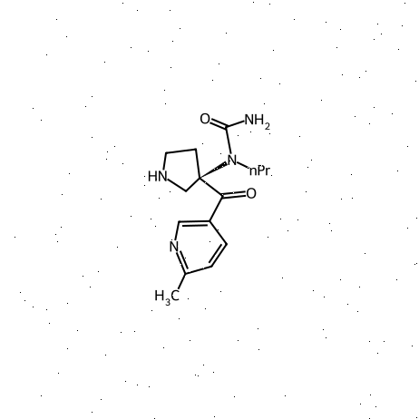 CCCN(C(N)=O)[C@]1(C(=O)c2ccc(C)nc2)CCNC1